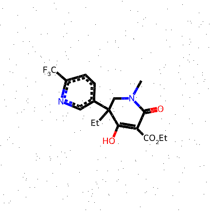 CCOC(=O)C1=C(O)C(CC)(c2ccc(C(F)(F)F)nc2)CN(C)C1=O